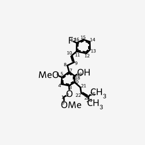 COCOc1cc(OC)c(C/C=C/c2ccccc2F)c(O)c1CC=C(C)C